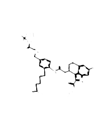 COC(=O)c1[nH]c2cc(Cl)cc3c2c1C(CC(=O)Nc1ccc(CNC(=O)OC(C)(C)C)cc1CCCCC(=O)O)CC3